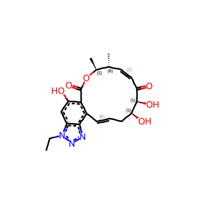 CCn1nnc2c3c(c(O)cc21)C(=O)O[C@@H](C)[C@H](C)/C=C\C(=O)[C@@H](O)[C@@H](O)C/C=C/3